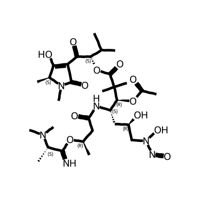 CC(=O)O[C@@H]([C@H](C[C@@H](O)CN(O)N=O)NC(=O)C[C@@H](C)OC(=N)[C@H](C)N(C)C)C(C)(C)C(=O)O[C@H](C(=O)C1=C(O)[C@H](C)N(C)C1=O)C(C)C